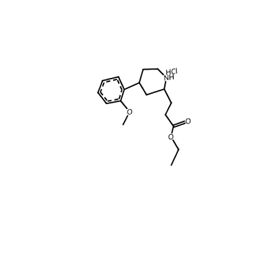 CCOC(=O)CCC1CC(c2ccccc2OC)CCN1.Cl